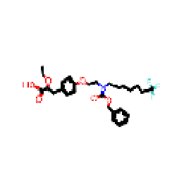 CCOC(Cc1ccc(OCCN(CCCCCCC(F)(F)F)C(=O)OCc2ccccc2)cc1)C(=O)O